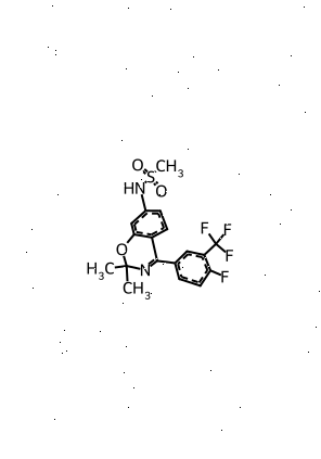 CC1(C)N=C(c2ccc(F)c(C(F)(F)F)c2)c2ccc(NS(C)(=O)=O)cc2O1